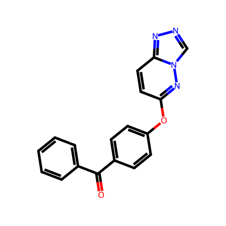 O=C(c1ccccc1)c1ccc(Oc2ccc3nncn3n2)cc1